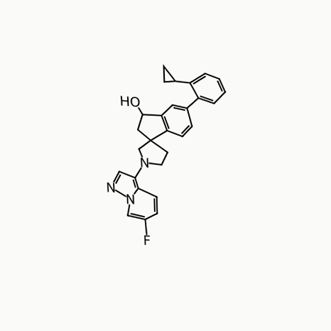 OC1CC2(CCN(c3cnn4cc(F)ccc34)C2)c2ccc(-c3ccccc3C3CC3)cc21